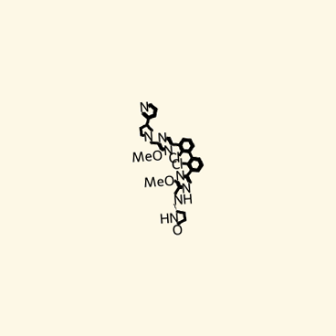 COc1nc(-c2cccc(-c3cccc(-c4cnc(CN5CCC(c6cccnc6)C5)c(OC)n4)c3Cl)c2Cl)cnc1CNC[C@@H]1CCC(=O)N1